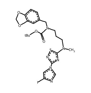 CN(CCCN(Cc1ccc2c(c1)OCO2)C(=O)OC(C)(C)C)c1nc(-n2cnc(I)c2)ns1